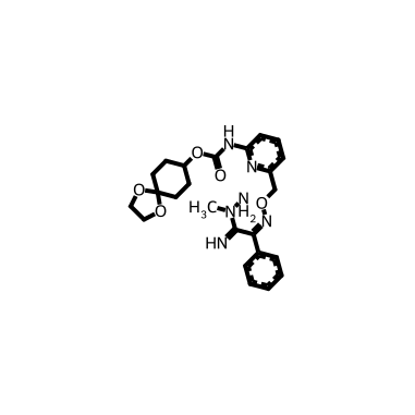 CN(N)C(=N)/C(=N\OCc1cccc(NC(=O)OC2CCC3(CC2)OCCO3)n1)c1ccccc1